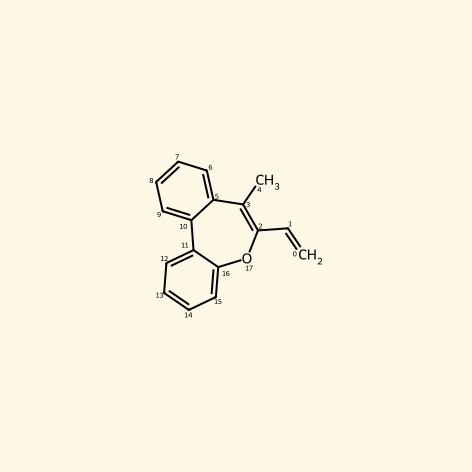 C=CC1=C(C)c2ccccc2-c2ccccc2O1